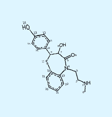 CNCCN1C(=O)C(O)C(c2ccc(O)cc2)Sc2ccccc21